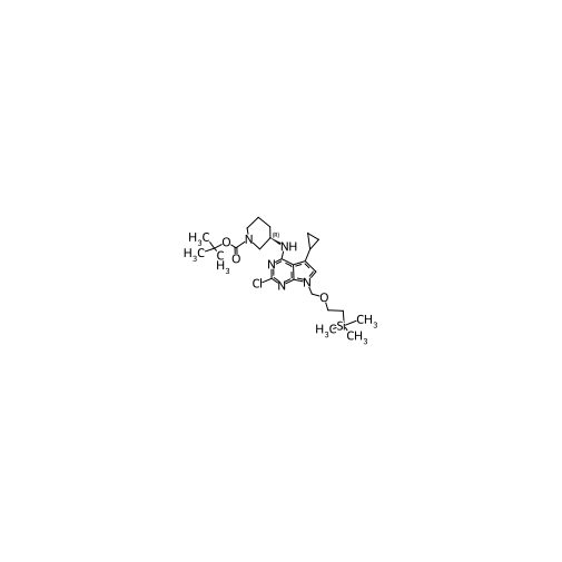 CC(C)(C)OC(=O)N1CCC[C@@H](Nc2nc(Cl)nc3c2c(C2CC2)cn3COCC[Si](C)(C)C)C1